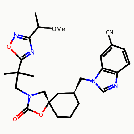 COC(C)c1noc(C(C)(C)CN2C[C@@]3(CCC[C@H](Cn4cnc5ccc(C#N)cc54)C3)OC2=O)n1